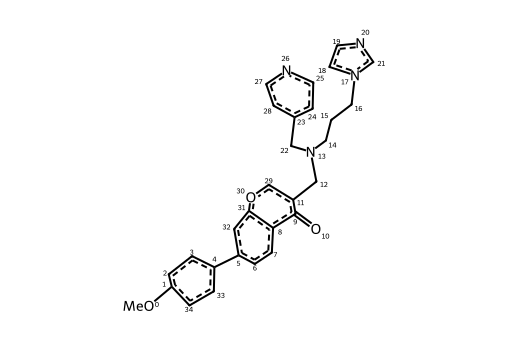 COc1ccc(-c2ccc3c(=O)c(CN(CCCn4ccnc4)Cc4ccncc4)coc3c2)cc1